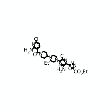 CCOC(=O)c1nnc(-c2nc(Cl)c(N3CCN(C4CCN(C(=O)c5ccc(Cl)nc5N)CC4)[C@@H](CC)C3)nc2N)o1